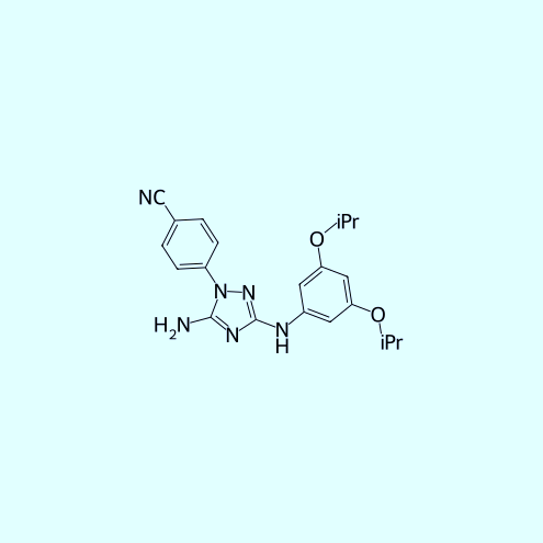 CC(C)Oc1cc(Nc2nc(N)n(-c3ccc(C#N)cc3)n2)cc(OC(C)C)c1